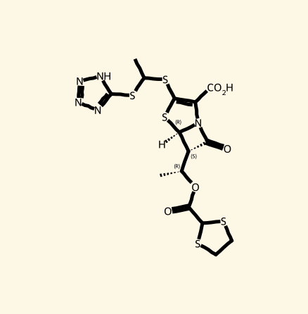 CC(SC1=C(C(=O)O)N2C(=O)[C@H]([C@@H](C)OC(=O)C3SCCS3)[C@H]2S1)Sc1nnn[nH]1